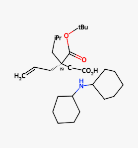 C1CCC(NC2CCCCC2)CC1.C=CC[C@](CC(=O)O)(CC(C)C)C(=O)OC(C)(C)C